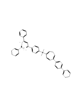 CC(C)(C1=CCC=C(c2ccc(C3=CCCC=C3)cc2)C=C1)c1ccc(-c2cc(-c3ccccc3)nc(C3=CCCC=C3)n2)cc1